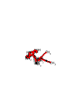 CCCCCCCCCCCCCC(=O)OC(CCCCCCCCCCC)CC(=O)N[C@H](C(=O)N[C@@H](CCCNC(N)=O)C(=O)Nc1ccc(CSP2(=O)OC[C@H]3O[C@@H](n4cnc5c(N)ncnc54)[C@H](F)[C@@H]3OP(=O)(S)OC[C@H]3O[C@@H](n4cnc5c(O)ncnc54)[C@H](F)[C@@H]32)cc1)C(C)C